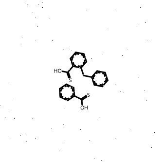 OC(=S)c1ccccc1.OC(=S)c1ccccc1Cc1ccccc1